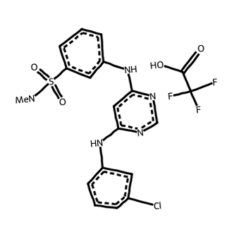 CNS(=O)(=O)c1cccc(Nc2cc(Nc3cccc(Cl)c3)ncn2)c1.O=C(O)C(F)(F)F